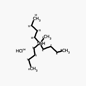 CCC[CH2][BiH]([CH3])([CH2]CCC)[CH2]CCC.Cl